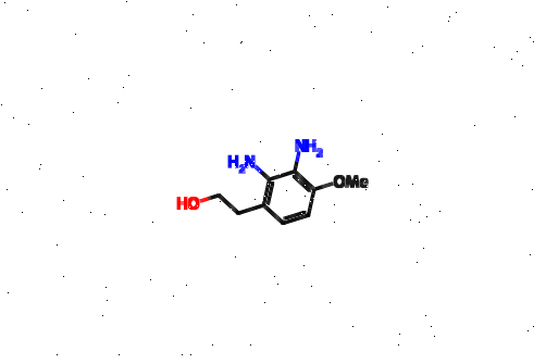 COc1ccc(CCO)c(N)c1N